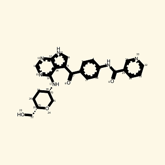 O=C(Nc1ccc(C(=O)c2c[nH]c3ncnc(N[C@H]4CC[C@@H](CO)OC4)c23)cc1)c1cccnc1